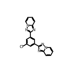 Clc1cc(-c2nc3ccccn3n2)cc(-c2nc3ccccn3n2)c1